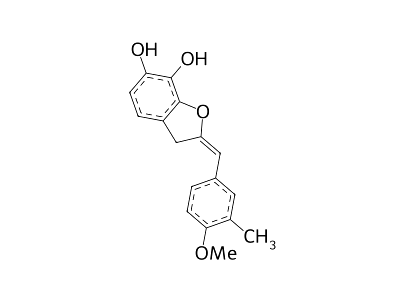 COc1ccc(C=C2Cc3ccc(O)c(O)c3O2)cc1C